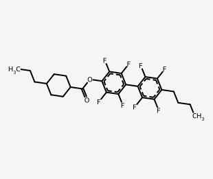 CCCCc1c(F)c(F)c(-c2c(F)c(F)c(OC(=O)C3CCC(CCC)CC3)c(F)c2F)c(F)c1F